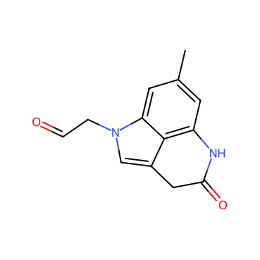 Cc1cc2c3c(cn(CC=O)c3c1)CC(=O)N2